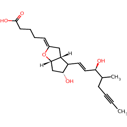 CC#CCC(C)[C@H](O)/C=C/C1[C@H](O)C[C@@H]2O/C(=C\CCCC(=O)O)C[C@H]12